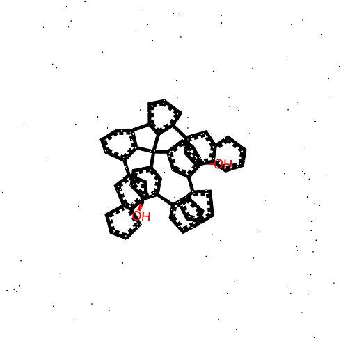 Oc1ccc(C2(c3ccc(O)c(-c4ccccc4)c3)c3c(-c4ccc5ccccc5c4)cccc3-c3cccc(-c4ccc5ccccc5c4)c32)cc1-c1ccccc1